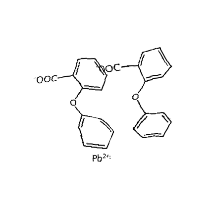 O=C([O-])c1ccccc1Oc1ccccc1.O=C([O-])c1ccccc1Oc1ccccc1.[Pb+2]